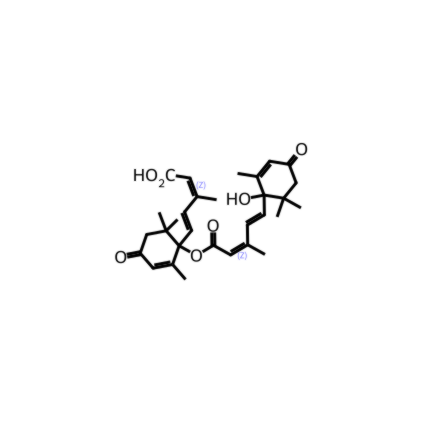 CC1=CC(=O)CC(C)(C)C1(O)C=C/C(C)=C\C(=O)OC1(C=C/C(C)=C\C(=O)O)C(C)=CC(=O)CC1(C)C